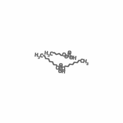 CCCCCCCCOP(=O)(O)OCCCCCCCC.CCCCCO[O][Ti](=[O])[OH]